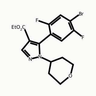 CCOC(=O)c1cnn(C2CCOCC2)c1-c1cc(F)c(Br)cc1F